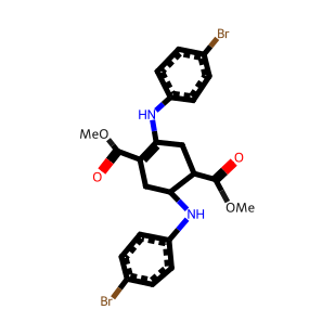 COC(=O)C1=C(Nc2ccc(Br)cc2)CC(C(=O)OC)C(Nc2ccc(Br)cc2)C1